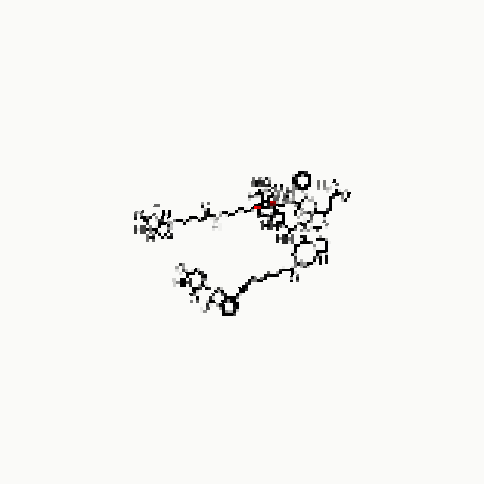 NC(=O)CCC(NC(=O)[C@@H]1CC[C@@H]2CCN(C(=O)CCCCCC#Cc3cccc4c3CN(C3CCC(=O)NC3=O)C4=O)C[C@H](NC(=O)c3cc4cc(C(F)(F)P(=O)(O)O)ccc4[nH]3)C(=O)N21)C(=O)N[C@H](C(=O)NCCCCCCCCNC(=O)CCCC[C@@H]1SC[C@@H]2NC(=O)N[C@@H]21)c1ccccc1